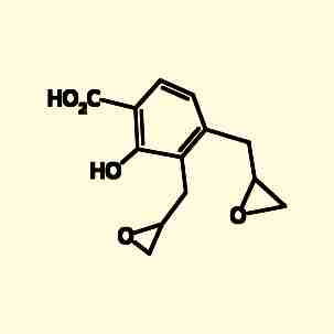 O=C(O)c1ccc(CC2CO2)c(CC2CO2)c1O